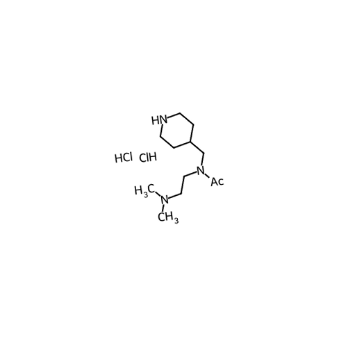 CC(=O)N(CCN(C)C)CC1CCNCC1.Cl.Cl